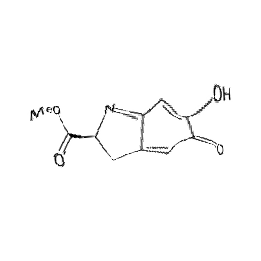 COC(=O)[C@@H]1CC2=CC(=O)C(O)=CC2=N1